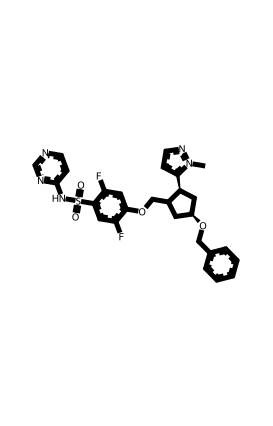 Cn1nccc1[C@H]1C[C@@H](OCc2ccccc2)CC1COc1cc(F)c(S(=O)(=O)Nc2ccncn2)cc1F